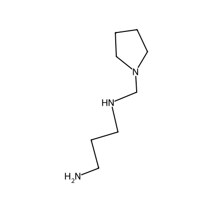 NCCCNCN1CCCC1